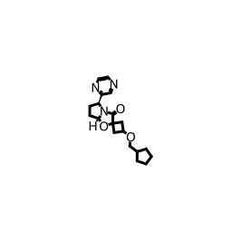 O=C1N2[C@@H](CC[C@H]2c2cnccn2)OC12CC(OCC1CCCC1)C2